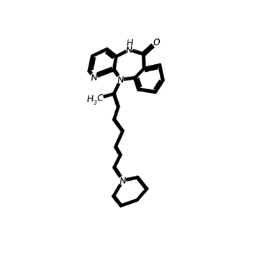 CC(CCCCCCN1CCCCC1)N1c2ccccc2C(=O)Nc2cccnc21